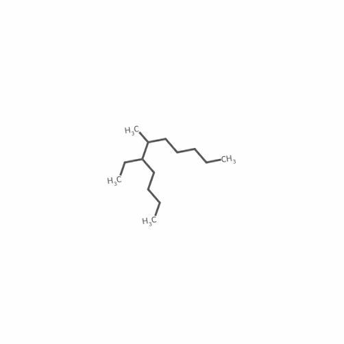 CCCCCC(C)C(CC)CCCC